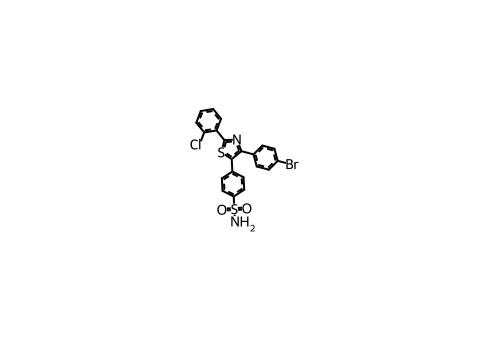 NS(=O)(=O)c1ccc(-c2sc(-c3ccccc3Cl)nc2-c2ccc(Br)cc2)cc1